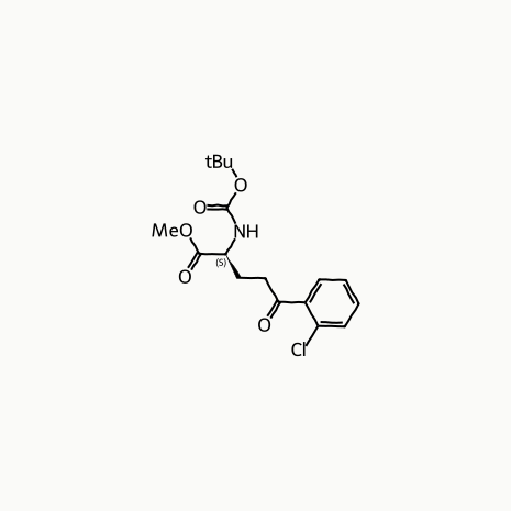 COC(=O)[C@H](CCC(=O)c1ccccc1Cl)NC(=O)OC(C)(C)C